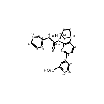 O=C(O)c1cc(-c2ccc3c(n2)N(C(=O)Nc2cnccn2)[C@H]2CCN3C2)ccn1